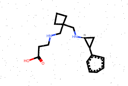 O=C(O)CCNCC1(CN[C@H]2CC2c2ccccc2)CCC1